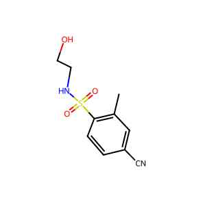 Cc1cc(C#N)ccc1S(=O)(=O)NCCO